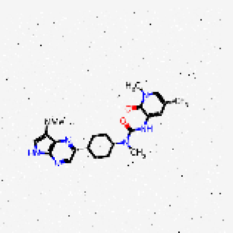 CNc1c[nH]c2ncc([C@H]3CC[C@H](N(C)C(=O)Nc4cc(C(F)(F)F)cn(C)c4=O)CC3)nc12